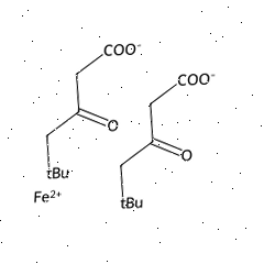 CC(C)(C)CC(=O)CC(=O)[O-].CC(C)(C)CC(=O)CC(=O)[O-].[Fe+2]